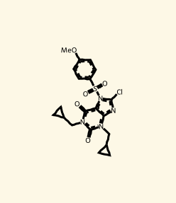 COc1ccc(S(=O)(=O)n2c(Cl)nc3c2c(=O)n(CC2CC2)c(=O)n3CC2CC2)cc1